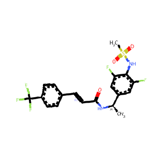 C[C@@H](NC(=O)/C=C/c1ccc(C(F)(F)F)cc1)c1cc(F)c(NS(C)(=O)=O)c(F)c1